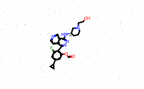 O=COc1cc(C2CC2)cc(F)c1-c1nnc(N[C@@H]2CCCN(CCO)C2)c2cnccc12